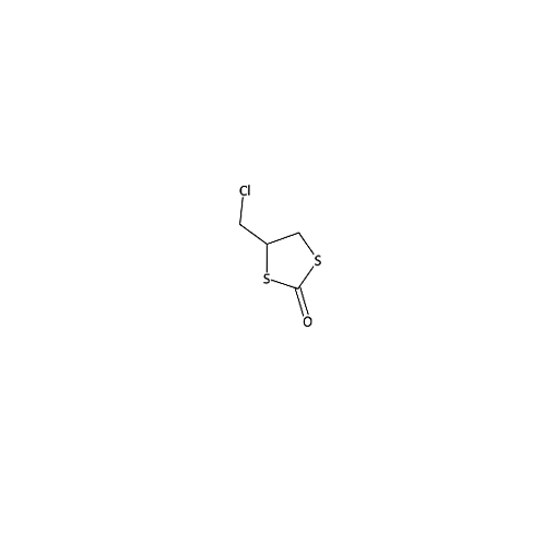 O=C1SCC(CCl)S1